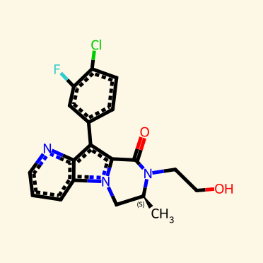 C[C@H]1Cn2c(c(-c3ccc(Cl)c(F)c3)c3ncccc32)C(=O)N1CCO